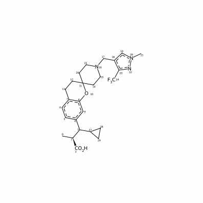 C[C@H](C(=O)O)C(c1ccc2c(c1)OC1(CC2)CCN(Cc2cn(C)nc2C(F)(F)F)CC1)C1CC1